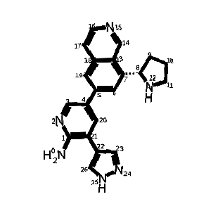 Nc1ncc(-c2cc([C@@H]3CCCN3)c3cnccc3c2)cc1-c1cn[nH]c1